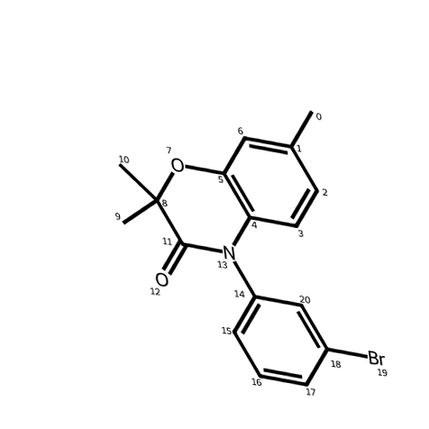 Cc1ccc2c(c1)OC(C)(C)C(=O)N2c1cccc(Br)c1